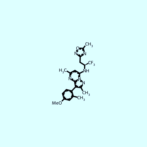 COc1ccc(-c2c(C)nn3c(N[C@@H](Cc4noc(C)n4)C(F)(F)F)cc(C)nc23)c(C)c1